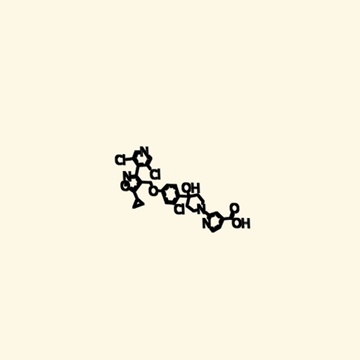 O=C(O)c1ccnc(N2CCC(O)(c3ccc(OCc4c(-c5c(Cl)cncc5Cl)noc4C4CC4)cc3Cl)CC2)c1